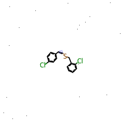 Clc1ccc(/C=C\SCc2ccccc2Cl)cc1